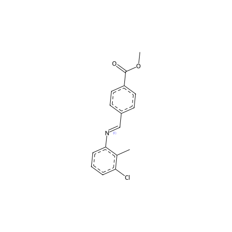 COC(=O)c1ccc(/C=N/c2cccc(Cl)c2C)cc1